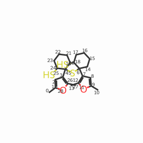 Cc1cc(C2(SC3(c4cc(C)oc4C)CCCCC3S)CCCCC2S)c(C)o1